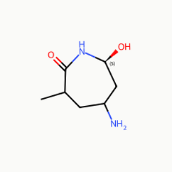 CC1CC(N)C[C@H](O)NC1=O